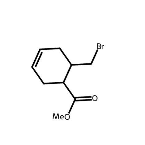 COC(=O)C1CC=CCC1CBr